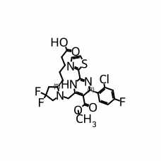 COC(=O)C1=C(CN2CC(F)(F)C[C@H]2CCCCC(=O)O)NC(c2nccs2)=N[C@H]1c1ccc(F)cc1Cl